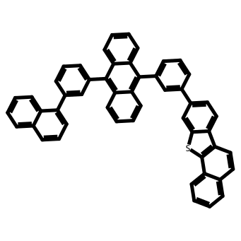 c1cc(-c2ccc3c(c2)sc2c4ccccc4ccc32)cc(-c2c3ccccc3c(-c3cccc(-c4cccc5ccccc45)c3)c3ccccc23)c1